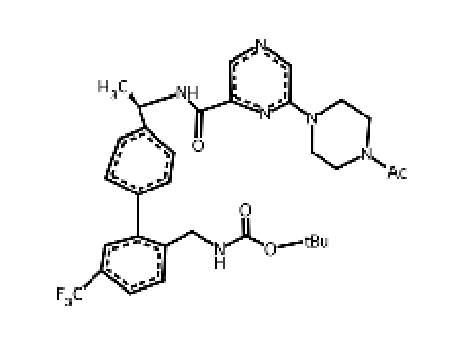 CC(=O)N1CCN(c2cncc(C(=O)N[C@H](C)c3ccc(-c4cc(C(F)(F)F)ccc4CNC(=O)OC(C)(C)C)cc3)n2)CC1